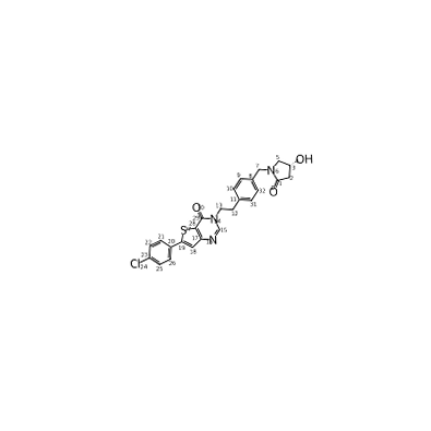 O=C1C[C@@H](O)CN1Cc1ccc(CCn2cnc3cc(-c4ccc(Cl)cc4)sc3c2=O)cc1